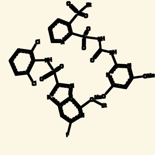 CCOc1nc(F)cc2nc(S(=O)(=O)Nc3c(Cl)cccc3Cl)nn12.CCS(=O)(=O)c1cccnc1S(=O)(=O)NC(=O)Nc1nc(OC)cc(OC)n1